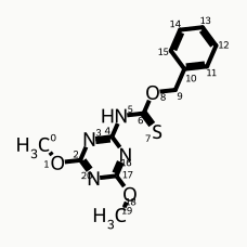 COc1nc(NC(=S)OCc2ccccc2)nc(OC)n1